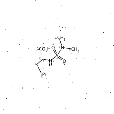 CC(C)C[C@@H](NS(=O)(=O)N(C)C)C(=O)O